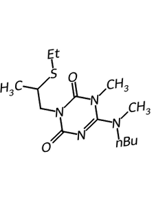 CCCCN(C)c1nc(=O)n(CC(C)SCC)c(=O)n1C